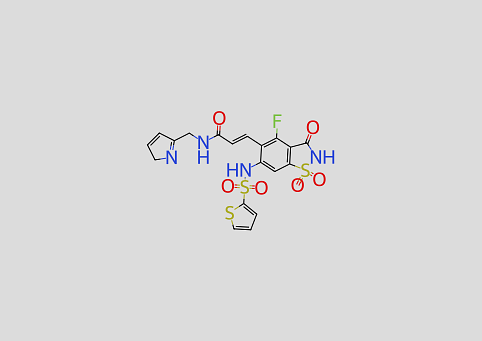 O=C(/C=C/c1c(NS(=O)(=O)c2cccs2)cc2c(c1F)C(=O)NS2(=O)=O)NCC1=NCC=C1